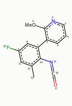 COc1ncccc1-c1cc(F)cc(C)c1N=C=O